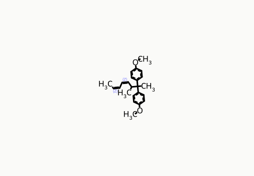 C/C=C\C=C/C(C)C(C)(c1ccc(OC)cc1)c1ccc(OC)cc1